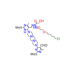 CSC1=NC(C)=C(/C=N/N(NOCCOCCCCCCCl)C(=O)CO)C(N2CC[N+]3(CC2)CC[N+]2(CCN(c4nc(SC)nc(C)c4C=O)CC2)CC3)N1